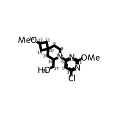 COc1nc(Cl)cc(N2CCC3(CC(OC)C3)CC2CO)n1